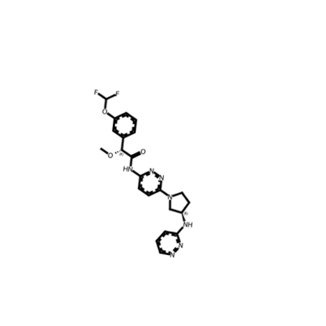 CO[C@@H](C(=O)Nc1ccc(N2CC[C@@H](Nc3cccnn3)C2)nn1)c1cccc(OC(F)F)c1